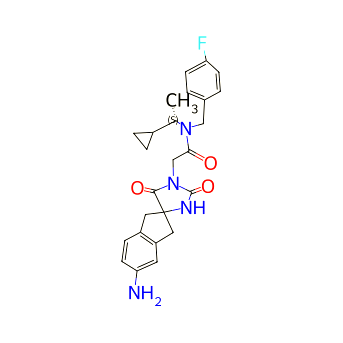 C[C@@H](C1CC1)N(Cc1ccc(F)cc1)C(=O)CN1C(=O)NC2(Cc3ccc(N)cc3C2)C1=O